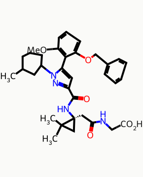 COc1cccc(OCc2ccccc2)c1-c1cc(C(=O)N[C@@]2(CC(=O)NCC(=O)O)CC2(C)C)nn1C1CCCC(C)C1